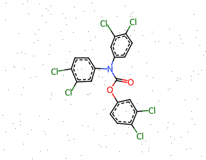 O=C(Oc1ccc(Cl)c(Cl)c1)N(c1ccc(Cl)c(Cl)c1)c1ccc(Cl)c(Cl)c1